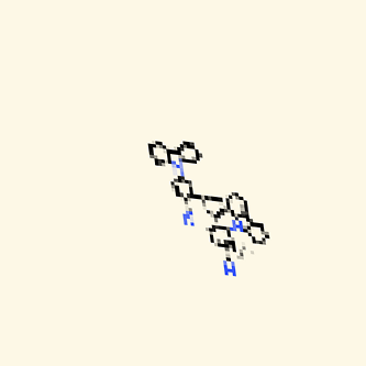 CC1CC=Cc2c1n(-c1cc(C#N)ccc1C1=CC=CC(c3cc(-n4c5ccc#cc5c5ccccc54)ccc3C#N)C1)c1ccccc21